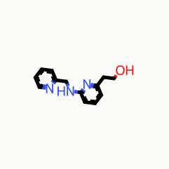 OCCc1cccc(NCc2ccccn2)n1